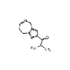 CN(C)C(=O)c1cc2n(n1)CCC=NC2